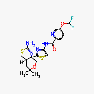 CC1(C)C[C@H]2CSC(N)=N[C@@]2(c2nc(NC(=O)c3ccc(OC(F)F)cn3)cs2)CO1